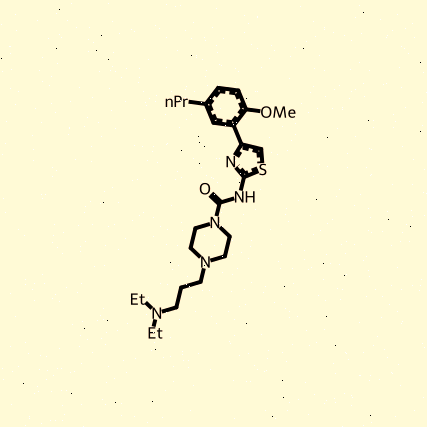 CCCc1ccc(OC)c(-c2csc(NC(=O)N3CCN(CCCN(CC)CC)CC3)n2)c1